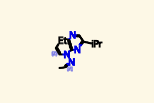 C/C=N\N(/C=C\CC)c1cncc(C(C)C)n1